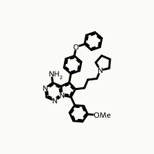 COc1cccc(-c2c(CCCN3CCCC3)c(-c3ccc(Oc4ccccc4)cc3)c3c(N)ncnn23)c1